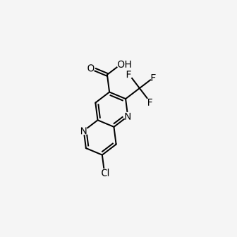 O=C(O)c1cc2ncc(Cl)cc2nc1C(F)(F)F